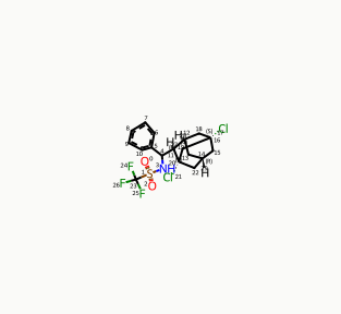 O=S(=O)(NC(c1ccccc1)[C@H]1[C@H]2C[C@@H]3C[C@](Cl)(C2)C[C@@]1(Cl)C3)C(F)(F)F